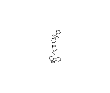 O=S(=O)(c1ccccc1)N1CCC(CNC[C@H](O)COc2cccc3[nH]c4ccccc4c23)CC1